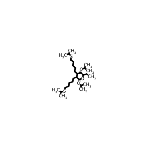 CCC1O[C@H](OC(C)C)C(CCCCCSC(C)C)C(CCCCCSC(C)C)[C@@H]1OC(C)C